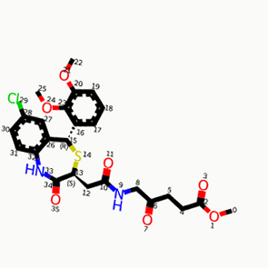 COC(=O)CCC(=O)CNC(=O)C[C@@H]1S[C@@H](c2cccc(OC)c2OC)c2cc(Cl)ccc2NC1=O